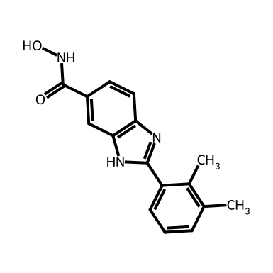 Cc1cccc(-c2nc3ccc(C(=O)NO)cc3[nH]2)c1C